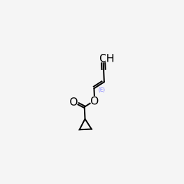 C#C/C=C/OC(=O)C1CC1